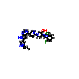 Cn1cc(-c2cc3c(-c4ccc(N5CC[C@H](NCc6c(F)cccc6Cl)[C@H](O)C5)nc4)ncnc3[nH]2)cn1